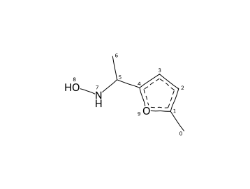 Cc1ccc(C(C)NO)o1